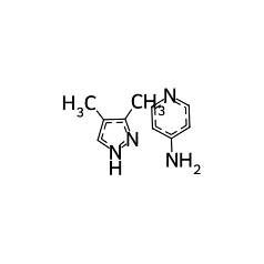 Cc1c[nH]nc1C.Nc1ccncc1